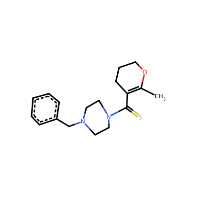 CC1=C(C(=S)N2CCN(Cc3ccccc3)CC2)CCCO1